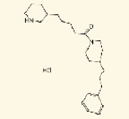 Cl.O=C(CCCCC1CCCNC1)N1CCC(CCCc2ccccc2)CC1